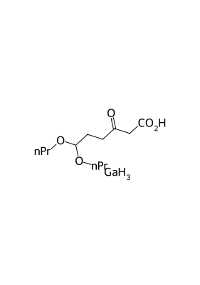 CCCOC(CCC(=O)CC(=O)O)OCCC.[GaH3]